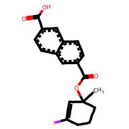 CC1(OC(=O)c2ccc3cc(C(=O)O)ccc3c2)C=C(I)CCC1